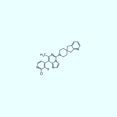 Cc1nc(N2CCC3(CC2)Cc2cccnc2C3)n2ccnc2c1-c1ccnc(Cl)c1F